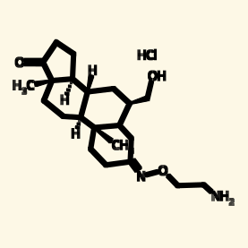 C[C@]12CC/C(=N/OCCN)CC1[C@H](CO)C[C@@H]1[C@@H]2CC[C@]2(C)C(=O)CC[C@@H]12.Cl